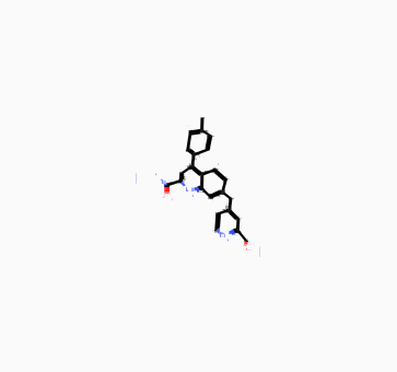 Cc1ccc(-c2cc(C(N)=O)nc3cc(Cc4ccnc(CO)c4)ccc23)cc1